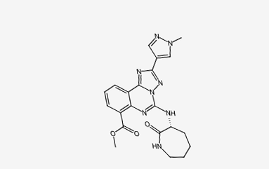 COC(=O)c1cccc2c1nc(N[C@@H]1CCCCNC1=O)n1nc(-c3cnn(C)c3)nc21